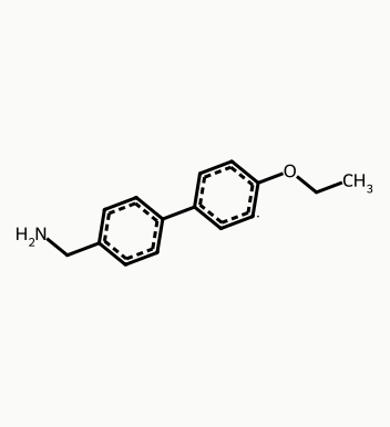 CCOc1[c]cc(-c2ccc(CN)cc2)cc1